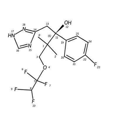 CC(C)(COC(F)(F)C(F)F)[C@](O)(Cc1nc[nH]n1)c1ccc(F)cc1